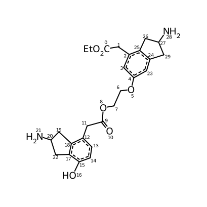 CCOC(=O)Cc1cc(OCCOC(=O)Cc2ccc(O)c3c2CC(N)C3)cc2c1CC(N)C2